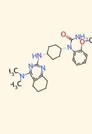 CN(C)c1nc(N[C@H]2CC[C@@H](N(C(N)=O)c3ccccc3OC(F)(F)F)CC2)nc2c1CCCC2